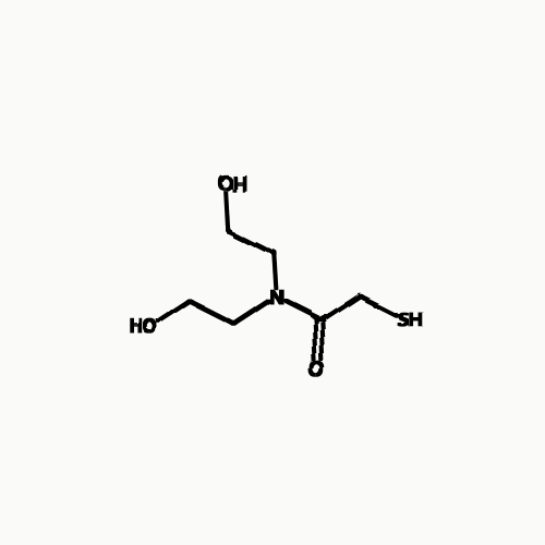 O=C(CS)N(CCO)CCO